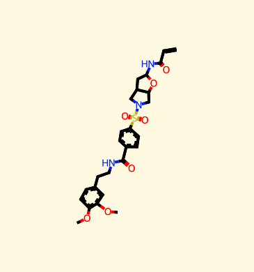 C=CC(=O)NC1CC2CN(S(=O)(=O)c3ccc(C(=O)NCCc4ccc(OC)c(OC)c4)cc3)CC2O1